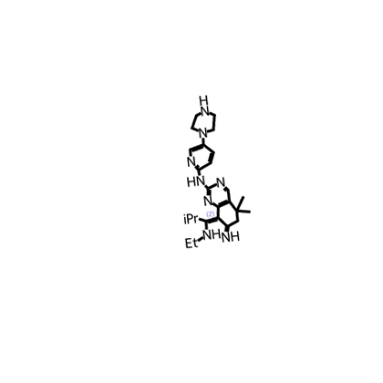 CCN/C(=C1\C(=N)CC(C)(C)c2cnc(Nc3ccc(N4CCNCC4)cn3)nc21)C(C)C